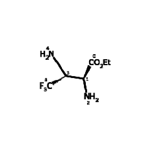 CCOC(=O)[C@@H](N)[C@@H](N)C(F)(F)F